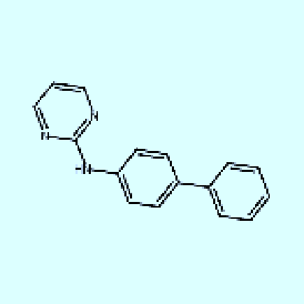 c1ccc(-c2ccc(Nc3ncccn3)cc2)cc1